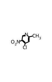 Cc1cc(Cl)c([N+](=O)[O-])cn1